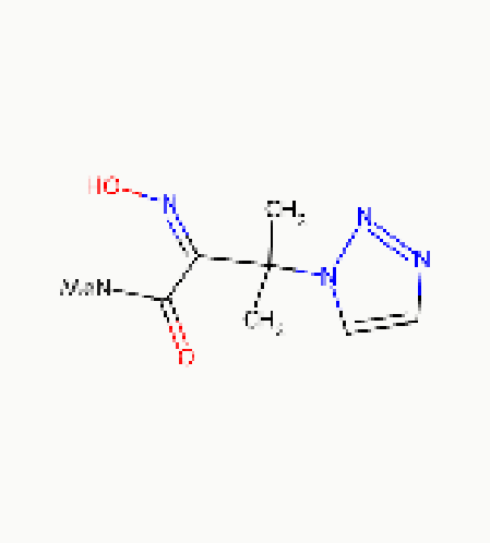 CNC(=O)C(=NO)C(C)(C)n1ccnn1